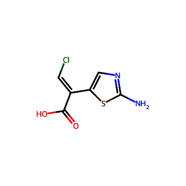 Nc1ncc(/C(=C\Cl)C(=O)O)s1